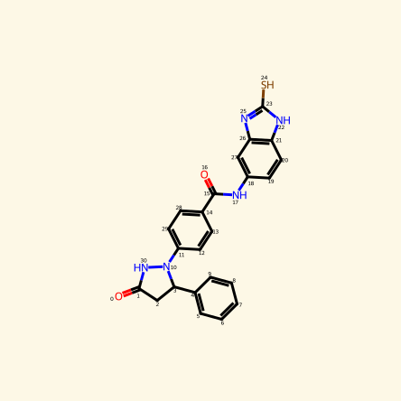 O=C1CC(c2ccccc2)N(c2ccc(C(=O)Nc3ccc4[nH]c(S)nc4c3)cc2)N1